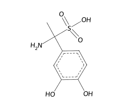 CC(N)(c1ccc(O)c(O)c1)S(=O)(=O)O